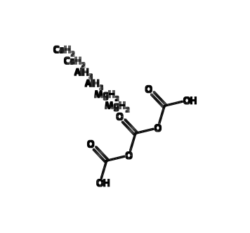 O=C(O)OC(=O)OC(=O)O.[AlH3].[AlH3].[CaH2].[CaH2].[MgH2].[MgH2]